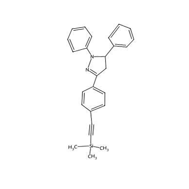 C[Si](C)(C)C#Cc1ccc(C2=NN(c3ccccc3)C(c3ccccc3)C2)cc1